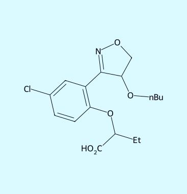 CCCCOC1CON=C1c1cc(Cl)ccc1OC(CC)C(=O)O